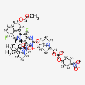 C#Cc1c(F)ccc2cc(OCOC)cc(-c3ncc4c(N5CC6CCC(C(C)(C)C)(C5)N6C(=O)O)nc(OC[C@@]56CCCN5[C@H](COC(=O)Oc5ccc([N+](=O)[O-])cc5)CC6)nc4c3F)c12